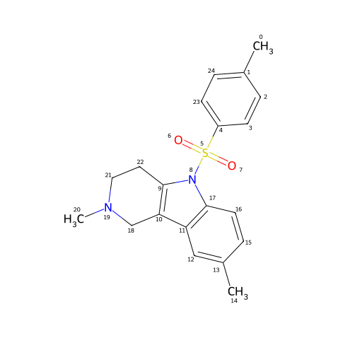 Cc1ccc(S(=O)(=O)n2c3c(c4cc(C)ccc42)CN(C)CC3)cc1